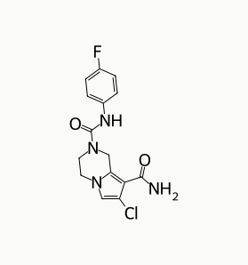 NC(=O)c1c(Cl)cn2c1CN(C(=O)Nc1ccc(F)cc1)CC2